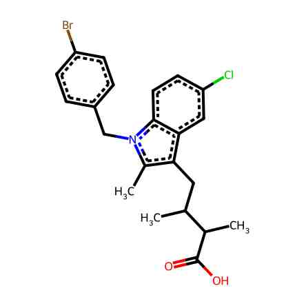 Cc1c(CC(C)C(C)C(=O)O)c2cc(Cl)ccc2n1Cc1ccc(Br)cc1